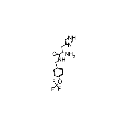 N[C@@H](Cc1c[nH]cn1)C(=O)NCc1ccc(OC(F)(F)F)cc1